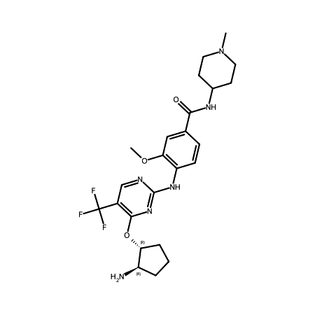 COc1cc(C(=O)NC2CCN(C)CC2)ccc1Nc1ncc(C(F)(F)F)c(O[C@@H]2CCC[C@H]2N)n1